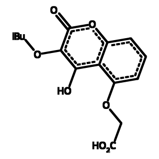 CCC(C)Oc1c(O)c2c(OCC(=O)O)cccc2oc1=O